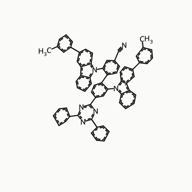 Cc1cccc(-c2ccc3c(c2)c2ccccc2n3-c2cc(C#N)ccc2-c2ccc(-c3nc(-c4ccccc4)nc(-c4ccccc4)n3)cc2-n2c3ccccc3c3cc(-c4cccc(C)c4)ccc32)c1